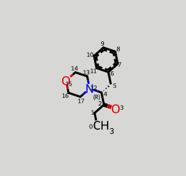 CCC(=O)[C@@H](Cc1ccccc1)N1CCOCC1